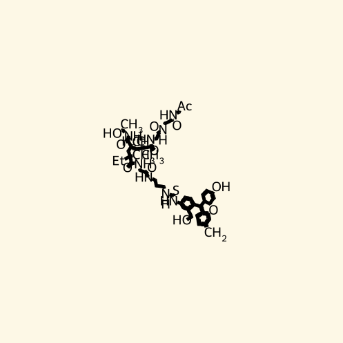 C=c1ccc2c(c1)OC1C=C(O)C=CC1C=2c1ccc(NC(=S)NCCCNC(=O)CNC(=O)C(C)(CC)CC(C)(CC(C)(C)C(=O)NCC(=O)NCC(=O)NCC(C)=O)C(=O)NC(C)O)cc1CO